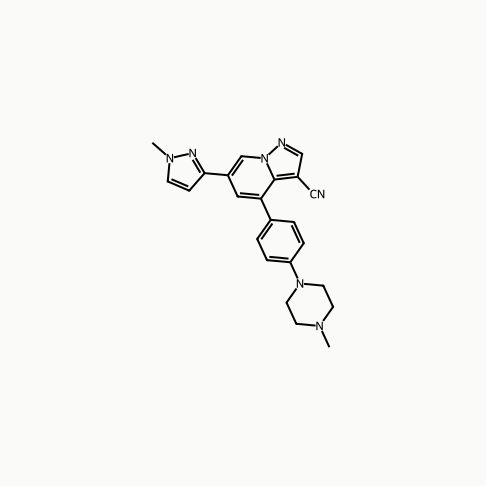 CN1CCN(c2ccc(-c3cc(-c4ccn(C)n4)cn4ncc(C#N)c34)cc2)CC1